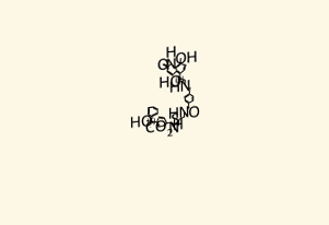 O=C(NCc1cnc(-c2ccc([C@](O)(C(=O)O)c3ccccc3)cc2)s1)c1ccc(CNC[C@H](O)c2ccc(O)c3[nH]c(=O)ccc23)cc1